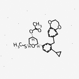 CS[C@@H]1C[C@H](OC(C)=O)C[C@H](c2ccc(C3CC3)c(Cc3ccc4c(c3)OCCO4)c2)O1